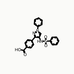 O=C(O)c1ccc(-c2nn(-c3ccccc3)cc2NS(=O)(=O)c2ccccc2)cc1